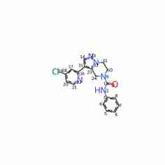 O=C(Nc1ccccc1)N1CCn2ncc(-c3cc(Cl)ccn3)c2C1